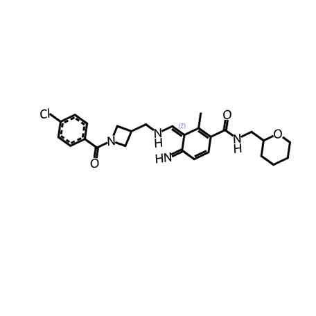 CC1=C(C(=O)NCC2CCCCO2)C=CC(=N)/C1=C\NCC1CN(C(=O)c2ccc(Cl)cc2)C1